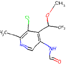 COC(C)c1c(NC=O)cnc(C)c1Cl